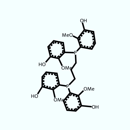 COc1c(O)cccc1P(CCCP(c1cccc(O)c1OC)c1cccc(O)c1OC)c1cccc(O)c1OC